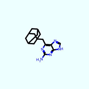 Nc1nc(CC23CC4CC(CC(C4)C2)C3)c2nc[nH]c2n1